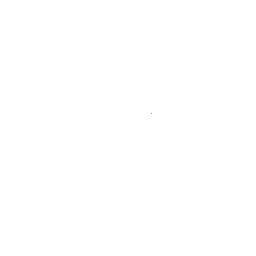 Cc1ccc2c(c1)c1c(n2-c2ccccc2F)CCN(C)C1